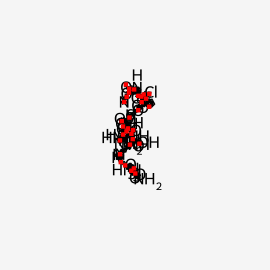 COc1cc2[nH]cc(C(=O)N3C[C@@H](CCl)c4c3cc(OC(=O)OCCSSC[C@H](NC(=O)[C@H](CC(=O)O)NC(=O)[C@H](CCCNC(=N)N)NC(=O)[C@H](CC(=O)O)NC(=O)CCCCn3cc(CCCC(=O)Nc5nnc(S(N)(=O)=O)s5)nn3)C(=O)O)c3ccccc43)c2cc1OCCN(C)C